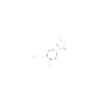 COc1c(Cl)ccc(Cl)c1C(=O)O.O=C1CNC=N1